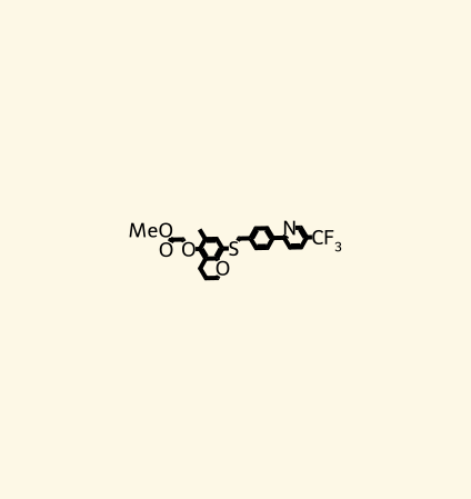 COC(=O)COc1c(C)cc(SCc2ccc(-c3ccc(C(F)(F)F)cn3)cc2)c2c1CCCO2